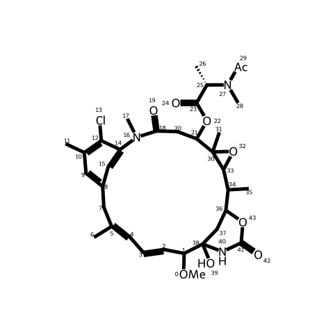 COC1/C=C/C=C(\C)Cc2cc(C)c(Cl)c(c2)N(C)C(=O)CC(OC(=O)[C@H](C)N(C)C(C)=O)C2(C)OC2C(C)C2CC1(O)NC(=O)O2